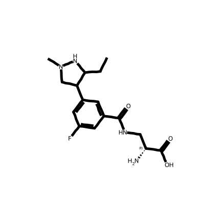 CCC1NN(C)CC1c1cc(F)cc(C(=O)NC[C@@H](N)C(=O)O)c1